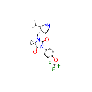 CC(C)c1cnccc1CN1C(=O)N(c2ccc(OC(F)(F)F)cc2)C(=O)C12CC2